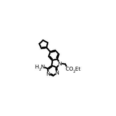 CCOC(=O)Cn1c2ccc(C3=CCCC3)cc2c2c(N)ncnc21